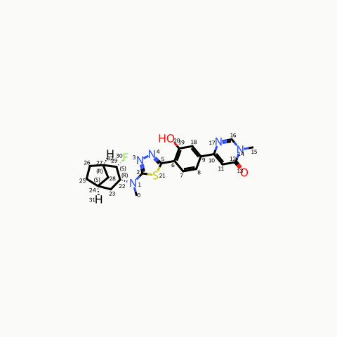 CN(c1nnc(-c2ccc(-c3cc(=O)n(C)cn3)cc2O)s1)[C@@H]1C[C@H]2CC[C@H](C2)[C@@H]1F